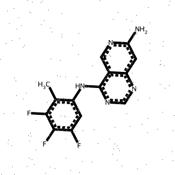 Cc1c(Nc2ncnc3cc(N)ncc23)cc(F)c(F)c1F